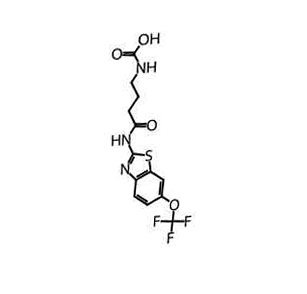 O=C(O)NCCCC(=O)Nc1nc2ccc(OC(F)(F)F)cc2s1